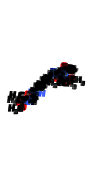 COC(=O)NC(C(=O)N1CCCC1c1ncc(-c2ccc(-c3ccc(C4C=NC(C5CN(C(=O)c6ccccc6)CN5C(=O)C(NC(=O)OC)C(C)C)N4)cc3)cc2)[nH]1)C(C)C